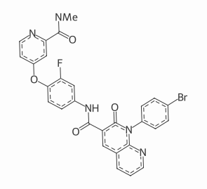 CNC(=O)c1cc(Oc2ccc(NC(=O)c3cc4cccnc4n(-c4ccc(Br)cc4)c3=O)cc2F)ccn1